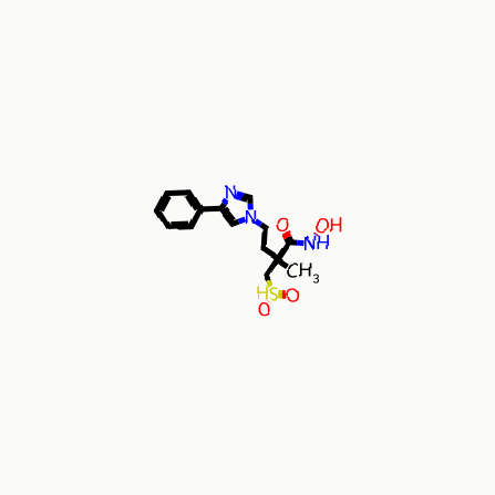 CC(CCn1cnc(-c2ccccc2)c1)(C[SH](=O)=O)C(=O)NO